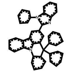 c1ccc(-n2c(-c3cc4c5c(c3)c3ccccc3n5-c3ccccc3C4(c3ccccc3)c3ccccc3)nc3ccccc32)cc1